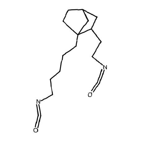 O=C=NCCCCCC12CCC(CC1CCN=C=O)C2